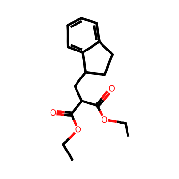 CCOC(=O)C(CC1CCc2ccccc21)C(=O)OCC